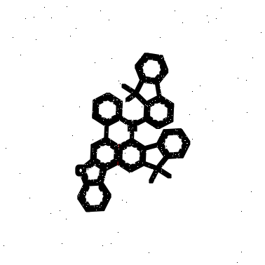 CC1(C)c2ccccc2-c2c(N(c3ccccc3-c3ccc4c(c3)oc3ccccc34)c3cccc4c3C(C)(C)c3ccccc3-4)cccc21